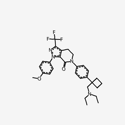 CCN(CC)CC1(c2ccc(N3CCc4c(C(F)(F)F)nn(-c5ccc(OC)cc5)c4C3=O)cc2)CCC1